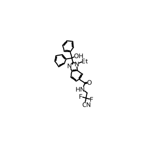 CCn1c(C(O)(c2ccccc2)c2ccccc2)nc2ccc(C(=O)NCC(F)(F)C#N)cc21